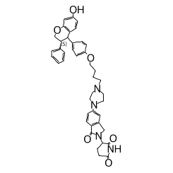 O=C1CCC(N2Cc3cc(N4CCN(CCCCOc5ccc(C6c7ccc(O)cc7OC[C@@H]6c6ccccc6)cc5)CC4)ccc3C2=O)C(=O)N1